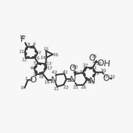 CCOc1cc(-c2ccc(F)cc2)c(C2CC2)cc1CN1CCC(N2CCc3nc(COC)c(C(=O)O)cc3C2=O)CC1